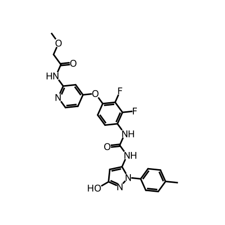 COCC(=O)Nc1cc(Oc2ccc(NC(=O)Nc3cc(O)nn3-c3ccc(C)cc3)c(F)c2F)ccn1